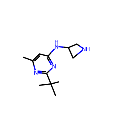 Cc1cc(NC2CNC2)nc(C(C)(C)C)n1